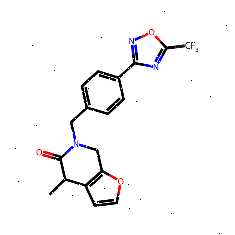 CC1C(=O)N(Cc2ccc(-c3noc(C(F)(F)F)n3)cc2)Cc2occc21